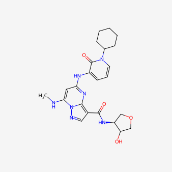 CNc1cc(Nc2cccn(C3CCCCC3)c2=O)nc2c(C(=O)N[C@H]3COCC3O)cnn12